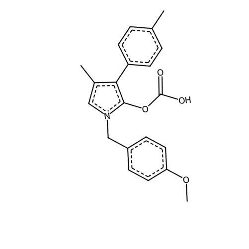 COc1ccc(Cn2cc(C)c(-c3ccc(C)cc3)c2OC(=O)O)cc1